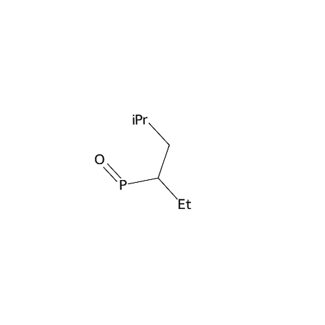 CCC(CC(C)C)P=O